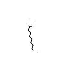 CCCCCCCCCCCCCCCCC(N=C=O)N=C=O